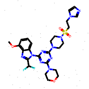 COc1cccc2c1nc(C(F)F)n2-c1nc(N2CCOCC2)nc(N2CCN(S(=O)(=O)CCn3ccnc3)CC2)n1